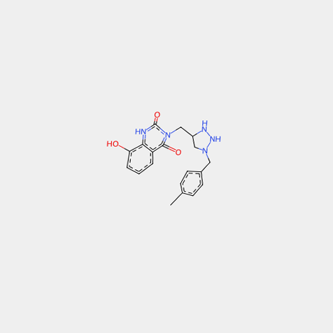 Cc1ccc(CN2CC(Cn3c(=O)[nH]c4c(O)cccc4c3=O)NN2)cc1